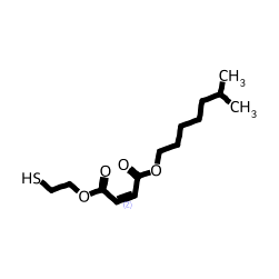 CC(C)CCCCCOC(=O)/C=C\C(=O)OCCS